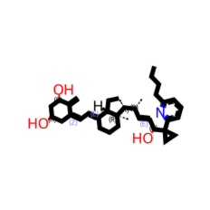 C=C1/C(=C\C=C2/CCC[C@]3(C)[C@@H]([C@H](C)/C=C/[C@@H](O)C4(c5cccc(CCCC)n5)CC4)CC[C@@H]23)C[C@@H](O)C[C@@H]1O